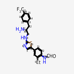 CCc1cc(-c2cnc(NC[C@H](N)Cc3ccc(C(F)(F)F)cc3)s2)ccc1NC=O